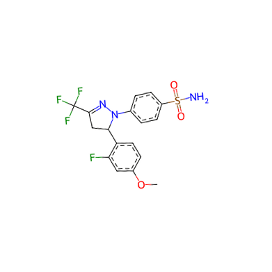 COc1ccc(C2CC(C(F)(F)F)=NN2c2ccc(S(N)(=O)=O)cc2)c(F)c1